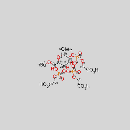 CCCCOC[C@H]1O[C@H](OC)[C@@H](OP(=O)(O)OCC(=O)O)[C@H](OP(=O)(O)OCC(=O)O)[C@@H]1OP(=O)(O)OCC(=O)O